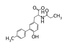 CCC(=O)NC(Cc1ccc(O)c(-c2ccc(C)cc2)c1)C(=O)O